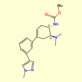 CN(C)[C@H]1CC(c2cccc(-c3cnn(C)c3)c2)=CC[C@@H]1NC(=O)OC(C)(C)C